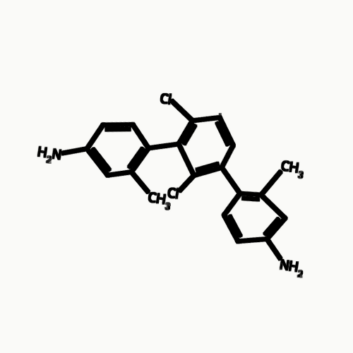 Cc1cc(N)ccc1-c1c[c]c(Cl)c(-c2ccc(N)cc2C)c1Cl